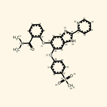 CN(C)C(=O)c1ccccc1Oc1cc2nc(-c3ccccn3)[nH]c2cc1Oc1ccc(S(C)(=O)=O)cc1